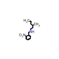 C=CCC(C)CCNCc1ccccc1[N+](=O)[O-]